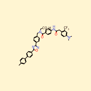 Cc1ccc(-c2ccc(-c3nc(-c4ccc(CN(CC(=O)O)C(=O)c5ccc(NC(=O)Cc6ccc(N(C)C)cc6C(F)(F)F)cc5)cc4)no3)cc2)cc1